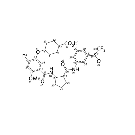 COc1cc(F)c(OC2CCC(C(=O)O)CC2)cc1C(=O)NC1CCCC1C(=O)Nc1cccc([S+]([O-])C(F)(F)F)c1